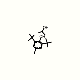 CC(C)O.Cc1cc(C(C)(C)C)c(O)c(C(C)(C)C)c1